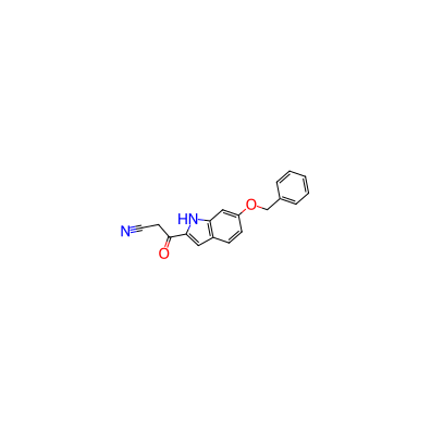 N#CCC(=O)c1cc2ccc(OCc3ccccc3)cc2[nH]1